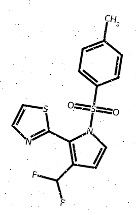 Cc1ccc(S(=O)(=O)n2ccc(C(F)F)c2-c2nccs2)cc1